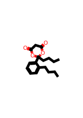 CCCCc1ccccc1C1(CCCC)OC(=O)CC(=O)O1